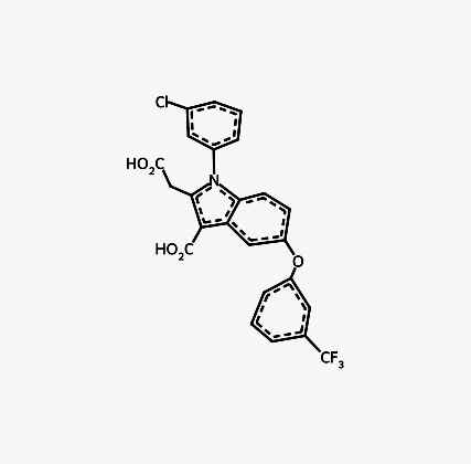 O=C(O)Cc1c(C(=O)O)c2cc(Oc3cccc(C(F)(F)F)c3)ccc2n1-c1cccc(Cl)c1